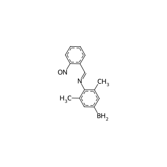 Bc1cc(C)c(/N=C/c2ccccc2N=O)c(C)c1